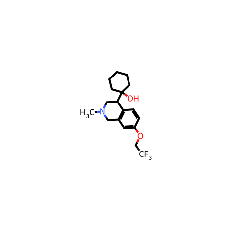 CN1Cc2cc(OCC(F)(F)F)ccc2C(C2(O)CCCCC2)C1